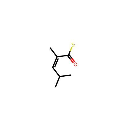 CC(=CC(C)C)C(=O)[S]